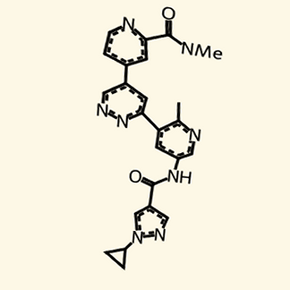 CNC(=O)c1cc(-c2cnnc(-c3cc(NC(=O)c4cnn(C5CC5)c4)cnc3C)c2)ccn1